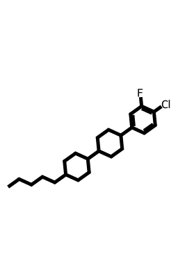 CCCCCC1CCC(C2CCC(c3ccc(Cl)c(F)c3)CC2)CC1